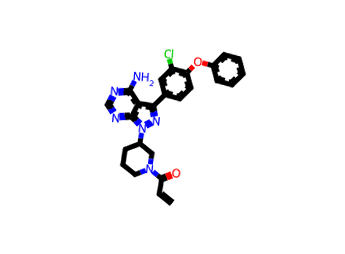 C=CC(=O)N1CCCC(n2nc(-c3ccc(Oc4ccccc4)c(Cl)c3)c3c(N)ncnc32)C1